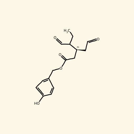 CCC(C=O)[C@@H](CC=O)CC(=O)OCc1ccc(O)cc1